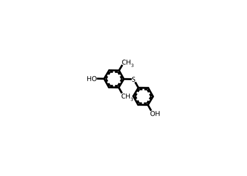 Cc1cc(O)cc(C)c1Sc1ccc(O)cc1